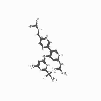 CC(=O)Nc1cc(Nc2cc(C)nc(C(C)(F)F)n2)c(-c2cnc(COC(F)F)cn2)cn1